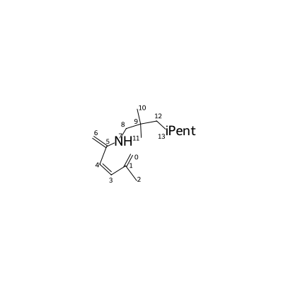 C=C(C)/C=C\C(=C)NCC(C)(C)CC(C)CCC